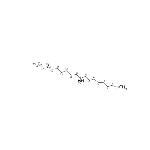 CCCCCCCCCCCCCCC[CH2][Al][CH2]C.[HH]